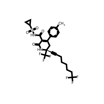 Cc1ccc(C2=C(C(=O)NS(=O)(=O)C3CC3)C(=O)N[C@@](C#CCCCCCC(F)(F)F)(C(F)(F)F)C2)cc1